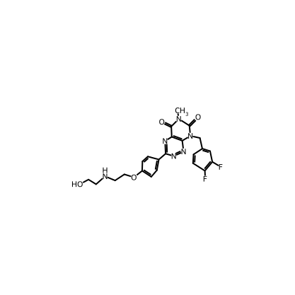 Cn1c(=O)c2nc(-c3ccc(OCCNCCO)cc3)nnc2n(Cc2ccc(F)c(F)c2)c1=O